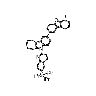 Cc1cccc2c1oc1ccc(-c3ccc4c(c3)c3c(n4-c4ccc5cc([Si](C(C)C)(C(C)C)C(C)C)ccc5n4)C=CC=CC3)cc12